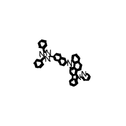 c1ccc(-c2nc(-c3ccccc3)nc(-c3ccc4cc(-n5c6cccc7ccc8c(c76)c5cc5c6ccccc6n(-c6ccccn6)c58)ccc4c3)n2)cc1